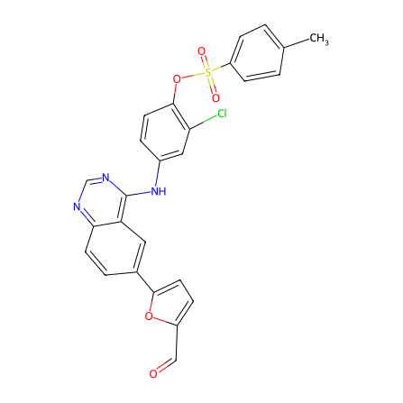 Cc1ccc(S(=O)(=O)Oc2ccc(Nc3ncnc4ccc(-c5ccc(C=O)o5)cc34)cc2Cl)cc1